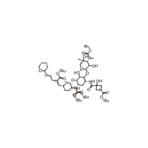 CN(C(=O)OC(C)(C)C)[C@@H]1[C@@H](O)[C@@H](O[C@@H]2[C@H](O)[C@H](O[C@H]3O[C@H](CN(CCOC4CCCCO4)C(=O)OC(C)(C)C)CC[C@H]3NC(=O)OC(C)(C)C)[C@@H](NC(=O)OC(C)(C)C)C[C@H]2NC(=O)C2(O)CN(C(=O)OC(C)(C)C)C2)OC[C@]1(C)O